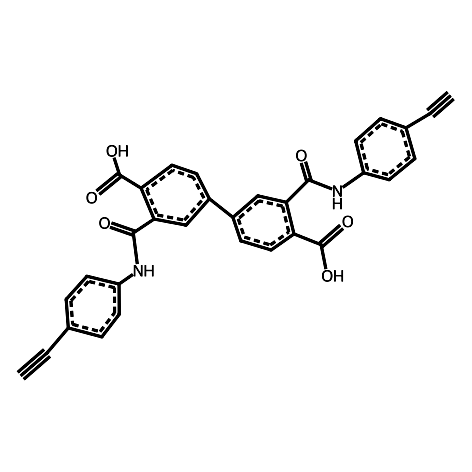 C#Cc1ccc(NC(=O)c2cc(-c3ccc(C(=O)O)c(C(=O)Nc4ccc(C#C)cc4)c3)ccc2C(=O)O)cc1